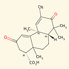 CC1(C)C(=O)C(C#N)=C[C@]2(C)C3=CC(=O)C[C@@H](C(=O)O)C3(C)CC[C@@H]12